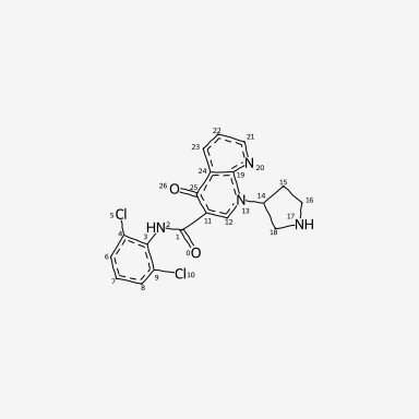 O=C(Nc1c(Cl)cccc1Cl)c1cn(C2CCNC2)c2ncccc2c1=O